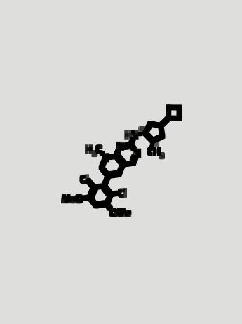 COc1cc(OC)c(Cl)c(C2=Cc3cnc(N[C@@H]4CC(C5CCC5)C[C@@H]4C)nc3N(C)C2)c1Cl